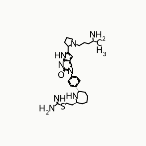 C[C@H](N)CCCN1CCCC1c1cc2cn(-c3ccc([C@@H]4CCCC[C@@H](CCSC(=N)N)N4)cc3)c(=O)nc2[nH]1